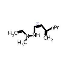 C=CN(C)N/C=C\C(=C)CCC